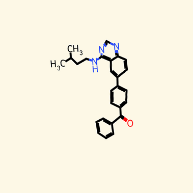 CC(C)CCNc1ncnc2ccc(-c3ccc(C(=O)c4ccccc4)cc3)cc12